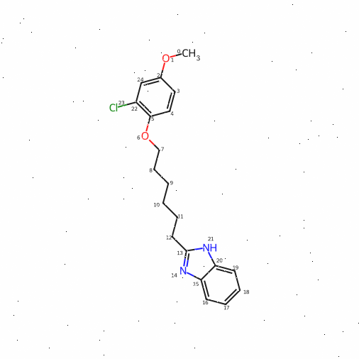 COc1ccc(OCCCCCCc2nc3ccccc3[nH]2)c(Cl)c1